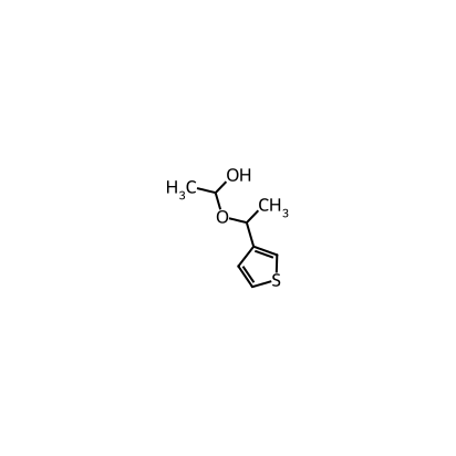 CC(O)OC(C)c1ccsc1